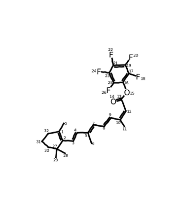 CC1=C(/C=C/C(C)=C/C=C/C(C)=C\C(=O)Oc2c(F)c(F)c(F)c(F)c2F)C(C)(C)CCC1